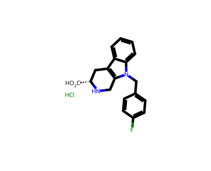 Cl.O=C(O)[C@@H]1Cc2c(n(Cc3ccc(F)cc3)c3ccccc23)CN1